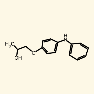 CC(O)COc1ccc(Nc2ccccc2)cc1